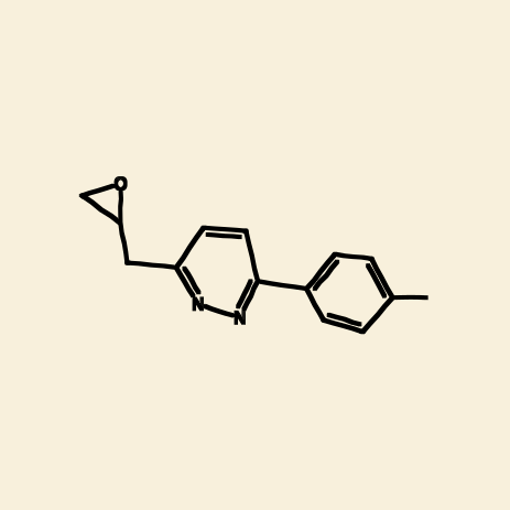 Cc1ccc(-c2ccc(CC3CO3)nn2)cc1